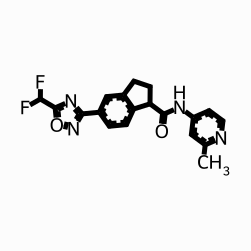 Cc1cc(NC(=O)C2CCc3cc(-c4noc(C(F)F)n4)ccc32)ccn1